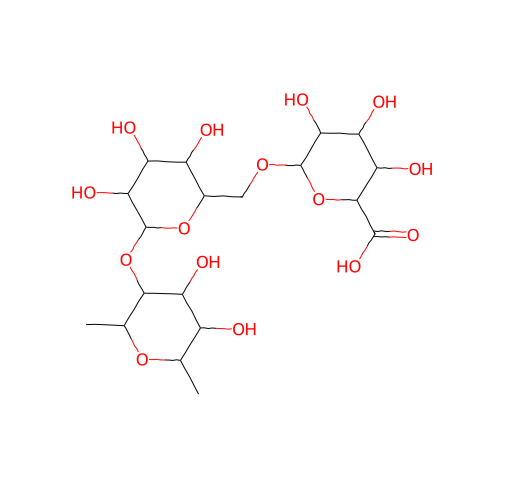 CC1OC(C)C(OC2OC(COC3OC(C(=O)O)C(O)C(O)C3O)C(O)C(O)C2O)C(O)C1O